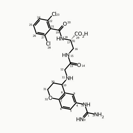 N=C(N)Nc1ccc2c(c1)C(NCC(=O)NC[C@H](NC(=O)c1c(Cl)cccc1Cl)C(=O)O)CCO2